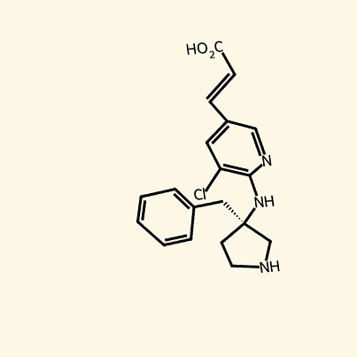 O=C(O)/C=C/c1cnc(N[C@]2(Cc3ccccc3)CCNC2)c(Cl)c1